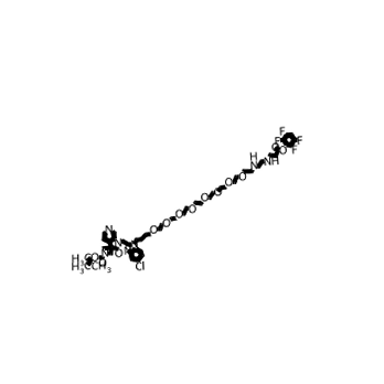 CC(C)(C)OC(=O)N1CC2(C1)C(=O)N(Cc1nc3cc(Cl)ccc3n1CCCCOCCOCCOCCOCCOCCOCCOCCOCCNCCNCCC(=O)Oc1c(F)c(F)cc(F)c1F)c1cnccc12